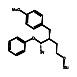 COc1ccc(C[C@@H](CCOC(C)(C)C)[C@@H](Oc2ccccc2)C(C)C)cc1